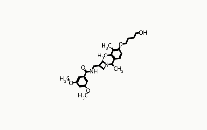 COc1cc(OC)cc(C(=O)NCC2CN(C(C)c3ccc(OCCCCO)c(C)c3C)C2)c1